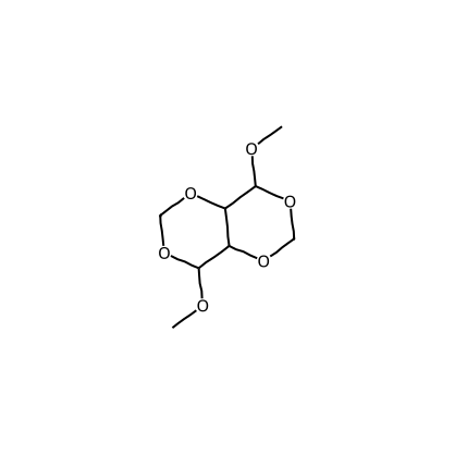 COC1OCOC2C(OC)OCOC12